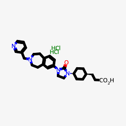 Cl.Cl.O=C(O)CC[C@H]1CC[C@H](N2CCN(c3ccc4c(c3)CCN(Cc3cccnc3)CC4)C2=O)CC1